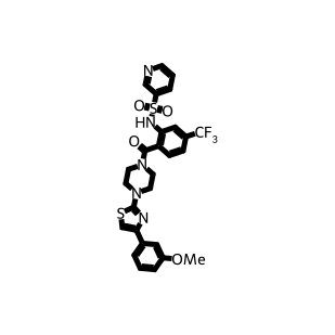 COc1cccc(-c2csc(N3CCN(C(=O)c4ccc(C(F)(F)F)cc4NS(=O)(=O)c4cccnc4)CC3)n2)c1